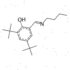 CCCC/N=C/c1cc(C(C)(C)C)cc(C(C)(C)C)c1O